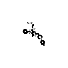 COCCNC(=O)c1nc(CC2CCN(c3ccc(C)cc3)CC2)nc(C)c1OCc1ccccc1